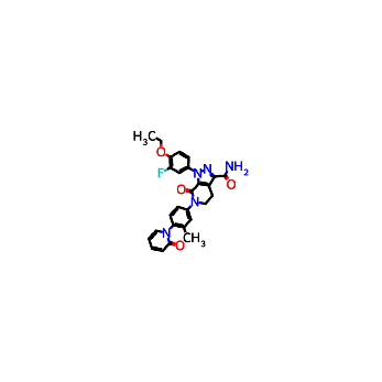 CCOc1ccc(-n2nc(C(N)=O)c3c2C(=O)N(c2ccc(-n4ccccc4=O)c(C)c2)CC3)cc1F